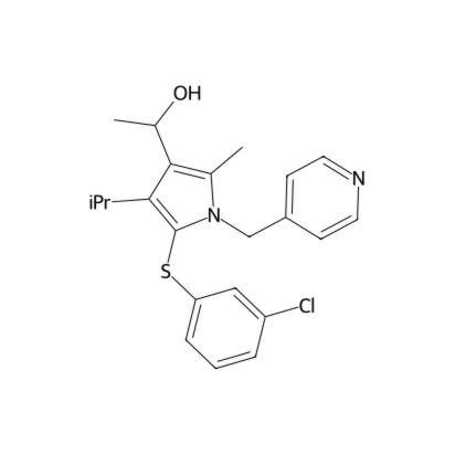 Cc1c(C(C)O)c(C(C)C)c(Sc2cccc(Cl)c2)n1Cc1ccncc1